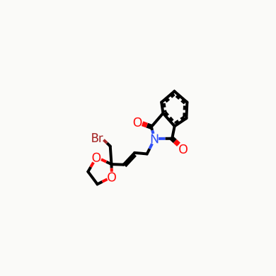 O=C1c2ccccc2C(=O)N1CC=CC1(CBr)OCCO1